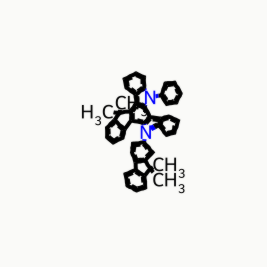 CC1(C)c2ccccc2-c2ccc(-n3c4ccccc4c4c3c3c(c5c6ccccc6n(-c6ccccc6)c54)C(C)(C)c4ccccc4-3)cc21